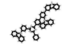 c1ccc(-c2nc(-c3ccc(-c4ccc(-c5ccc6oc7ccccc7c6c5)cc4-n4c5ccccc5c5ccccc54)cc3)nc(-c3cccc(-n4c5ccccc5c5ccccc54)c3)n2)cc1